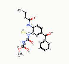 CCCC(=O)Nc1ccc(C(=O)c2ccccc2)cc1N(S)C(=O)NC(=O)OC